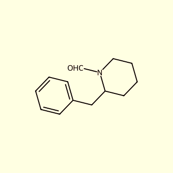 O=CN1CCCCC1Cc1ccccc1